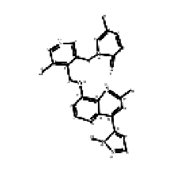 Cc1ccc(=O)n(Cc2cncc(Cl)c2COc2cccc3c(-c4ccnn4C)cc(C)nc23)c1